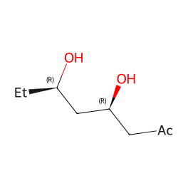 CC[C@@H](O)C[C@@H](O)CC(C)=O